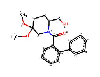 COC1(OC)CCC(CO)N(C(=O)c2ccccc2-c2ccccc2)C1